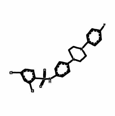 O=S(=O)(Nc1ccc(N2CCN(c3ccc(F)cc3)CC2)cc1)c1ccc(Cl)cc1Cl